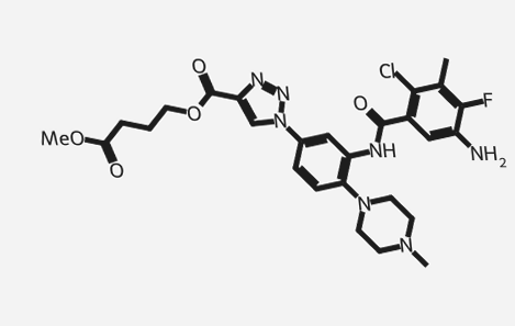 COC(=O)CCCOC(=O)c1cn(-c2ccc(N3CCN(C)CC3)c(NC(=O)c3cc(N)c(F)c(C)c3Cl)c2)nn1